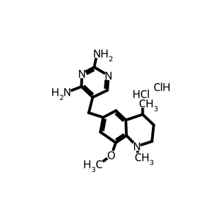 COc1cc(Cc2cnc(N)nc2N)cc2c1N(C)CCC2C.Cl.Cl